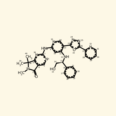 CN1C(=O)c2cnc(Nc3cc(N[C@H](CO)c4ccccc4)c(-c4nnc(-c5ccccn5)o4)cn3)nc2C1(C)C